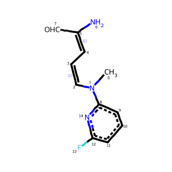 CN(/C=C\C=C(\N)C=O)c1cccc(F)n1